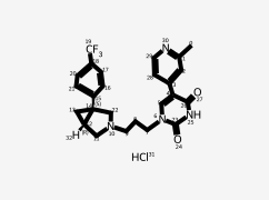 Cc1cc(-c2cn(CCCN3C[C@@H]4C[C@]4(c4ccc(C(F)(F)F)cc4)C3)c(=O)[nH]c2=O)ccn1.Cl